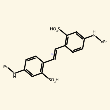 CCCNc1ccc(/C=C/c2ccc(NC(C)C)cc2S(=O)(=O)O)c(S(=O)(=O)O)c1